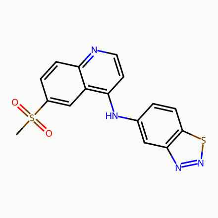 CS(=O)(=O)c1ccc2nccc(Nc3ccc4snnc4c3)c2c1